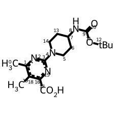 Cc1nc(N2CCC(NC(=O)OC(C)(C)C)CC2)nc(C(=O)O)c1C